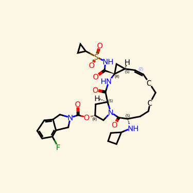 O=C1N[C@]2(C(=O)NS(=O)(=O)C3CC3)C[C@H]2/C=C\CCCCC[C@H](NC2CCC2)C(=O)N2C[C@H](OC(=O)N3Cc4cccc(F)c4C3)C[C@@H]12